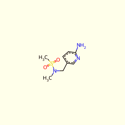 CN(Cc1ccc(N)nc1)S(C)(=O)=O